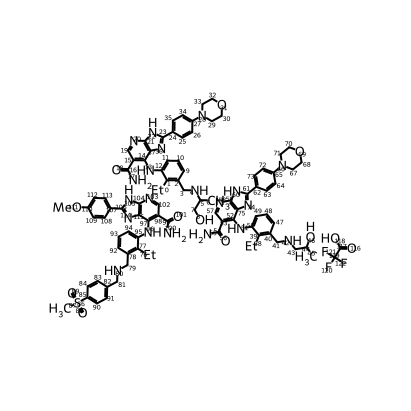 CCc1c(CNC(C)CO)cccc1Nc1c(C(N)=O)cnc2[nH]c(-c3ccc(N4CCOCC4)cc3)nc12.CCc1c(CNCC(C)O)cccc1Nc1c(C(N)=O)cnc2[nH]c(-c3ccc(N4CCOCC4)cc3)nc12.CCc1c(CNCc2ccc(S(C)(=O)=O)cc2)cccc1Nc1c(C(N)=O)cnc2[nH]c(-c3ccc(OC)cc3)nc12.O=C(O)C(F)(F)F